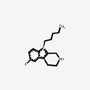 CCCCCn1c2c(c3cc(F)ccc31)CCNC2